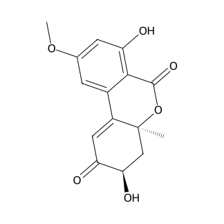 COc1cc(O)c2c(c1)C1=CC(=O)[C@H](O)C[C@]1(C)OC2=O